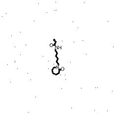 C=CC(=O)NCCCCCCN1CCCCCC1=O